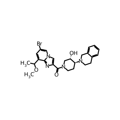 COC(C)c1cc(Br)cn2cc(C(=O)N3CC[C@H](N4CCc5ccccc5C4)[C@@H](O)C3)nc12